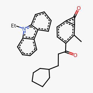 CCn1c2ccccc2c2ccccc21.Cc1c(C(=O)CCC2CCCCC2)ccc2c(=O)c12